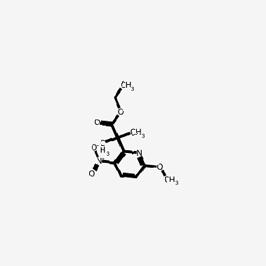 CCOC(=O)C(C)(C)c1nc(OC)ccc1[N+](=O)[O-]